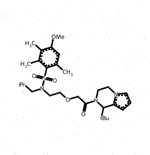 COc1cc(C)c(S(=O)(=O)N(CCOCC(=O)N2CCn3cccc3C2C(C)(C)C)CC(C)C)c(C)c1C